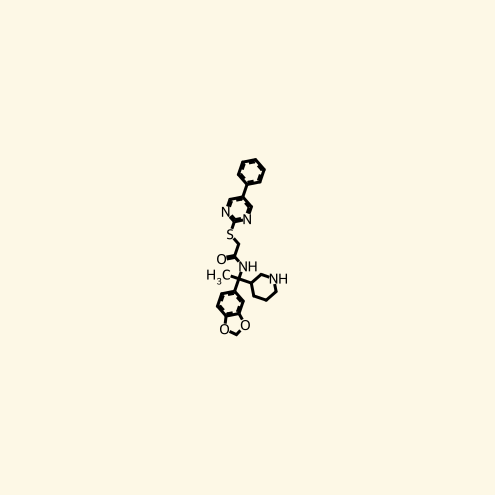 CC(NC(=O)CSc1ncc(-c2ccccc2)cn1)(c1ccc2c(c1)OCO2)C1CCCNC1